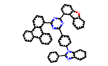 c1ccc(-c2nc3ccccc3n2-c2ccc(-c3nc(-c4cccc5oc6ccccc6c45)nc(-c4cccc5c6ccccc6c6ccccc6c45)n3)cc2)cc1